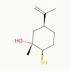 C=C(C)[C@H]1CC[C@@H](S)[C@](C)(O)C1